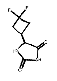 O=C1NC(=O)C(C2CC(F)(F)C2)N1